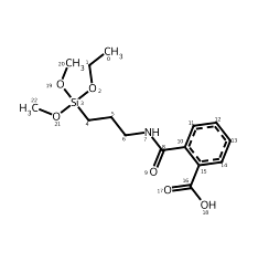 CCO[Si](CCCNC(=O)c1ccccc1C(=O)O)(OC)OC